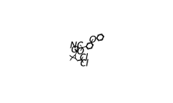 CC1(C)C(C=C(Cl)Cl)C1C(=O)O[C@@H](C#N)c1cccc(Oc2ccccc2)c1